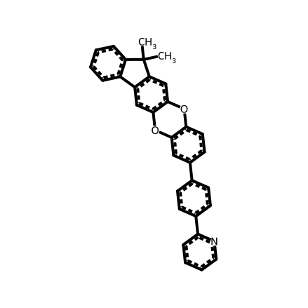 CC1(C)c2ccccc2-c2cc3c(cc21)Oc1ccc(-c2ccc(-c4ccccn4)cc2)cc1O3